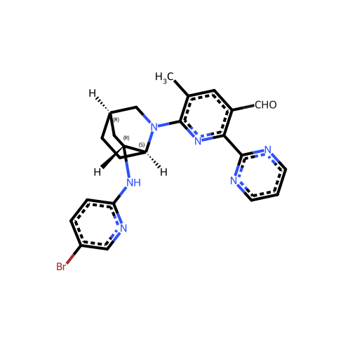 Cc1cc(C=O)c(-c2ncccn2)nc1N1C[C@@H]2CC[C@H]1[C@H](Nc1ccc(Br)cn1)C2